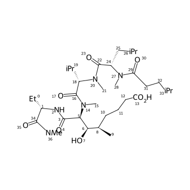 CC[C@H](NC(=O)[C@H]([C@H](O)[C@H](C)CCCC(=O)O)N(C)C(=O)[C@H](C(C)C)N(C)C(=O)[C@H](CC(C)C)N(C)C(=O)CCC(C)C)C(=O)NC